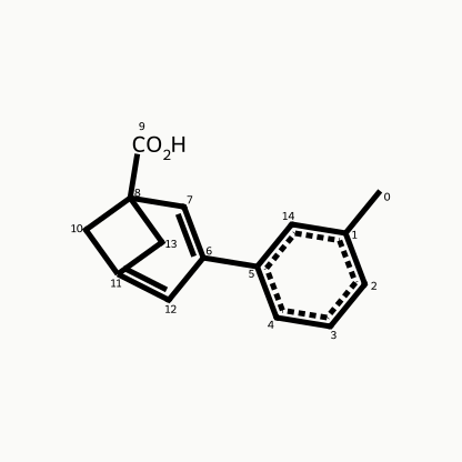 Cc1cccc(C2=CC3(C(=O)O)CC(=C2)C3)c1